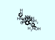 N=C(N)c1c(N2CCC(N)(CO)C2)ccc([S+]([O-])CN[C@@H]2CCNC2)c1S(N)(=O)=O